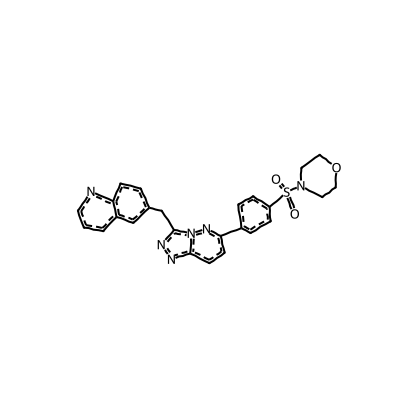 O=S(=O)(c1ccc(-c2ccc3nnc(Cc4ccc5ncccc5c4)n3n2)cc1)N1CCOCC1